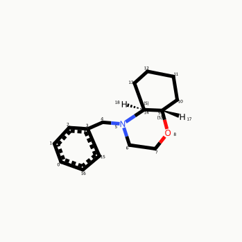 c1ccc(CN2CCO[C@H]3CCCC[C@@H]32)cc1